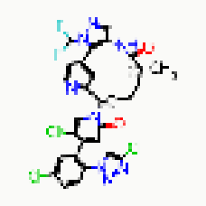 C[C@@H]1CCC[C@H](n2cc(Cl)c(-c3cc(Cl)ccc3-n3cc(Cl)nn3)cc2=O)c2cc(ccn2)-c2c(cnn2C(F)F)NC1=O